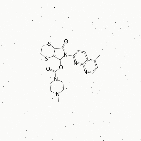 Cc1ccnc2nc(N3C(=O)C4SCCSC4C3OC(=O)N3CCN(C)CC3)ccc12